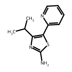 CC(C)c1nc(N)sc1-c1ccccn1